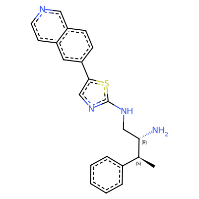 C[C@@H](c1ccccc1)[C@@H](N)CNc1ncc(-c2ccc3cnccc3c2)s1